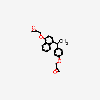 CC(c1ccc(OCC2CO2)cc1)c1ccc(OCC2CO2)c2ccccc12